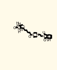 O=C1N[C@@H]2CSC(CCCCC(=O)N3CCN(CCN4C(=O)C5C6C=CC(O6)[C@]5(S)C4=O)CC3)[C@@H]2N1